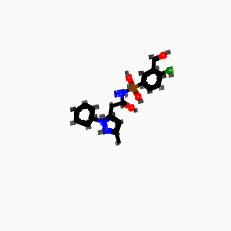 Cc1cc(CC(=O)NS(=O)(=O)c2ccc(Cl)c(C=O)c2)n(-c2ccccc2)n1